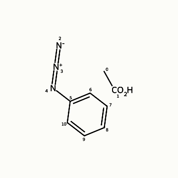 CC(=O)O.[N-]=[N+]=Nc1ccccc1